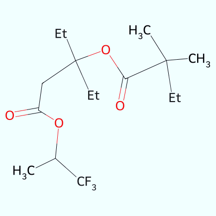 CCC(CC)(CC(=O)OC(C)C(F)(F)F)OC(=O)C(C)(C)CC